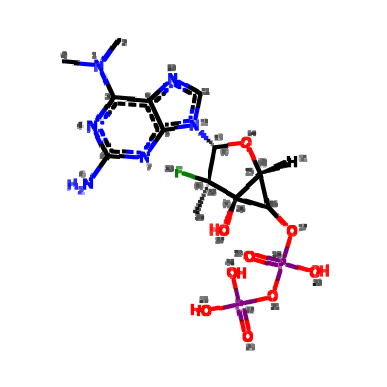 CN(C)c1nc(N)nc2c1ncn2[C@@H]1O[C@@H]2C(OP(=O)(O)OP(=O)(O)O)[C@]2(O)[C@@]1(C)F